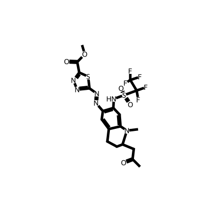 COC(=O)c1nnc(N=Nc2cc3c(cc2NS(=O)(=O)C(F)(F)C(F)(F)F)N(C)C(CC(C)=O)CC3)s1